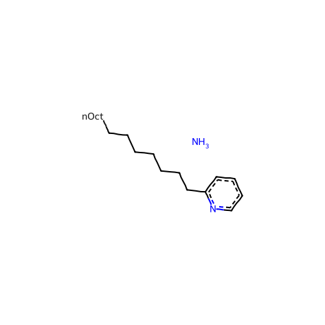 CCCCCCCCCCCCCCCc1ccccn1.N